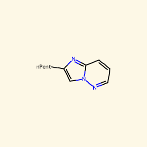 CCCCCc1cn2ncccc2n1